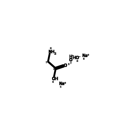 NCC(=O)O.[Na+].[Na+].[OH-].[OH-]